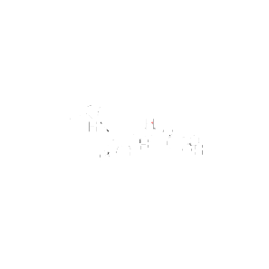 CC(C)C1=C2[C@H]3CC[C@@H]4[C@@]5(C)CC[C@H](OC(=O)CC(C)(C)C(=O)O)C(C)(C)[C@@H]5CC[C@@]4(C)[C@]3(C)CC[C@@]2(CCNCc2cccc(Cl)c2)CC1=O